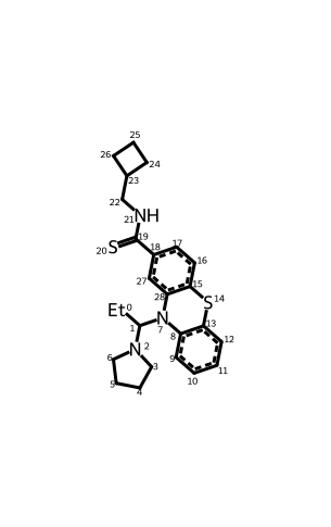 CCC(N1CCCC1)N1c2ccccc2Sc2ccc(C(=S)NCC3CCC3)cc21